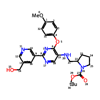 COc1ccc(Oc2nc(-c3cncc(CO)c3)ncc2NCC2CCCN2C(=O)OC(C)(C)C)cc1